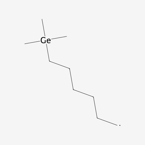 [CH2]CCCC[CH2][Ge]([CH3])([CH3])[CH3]